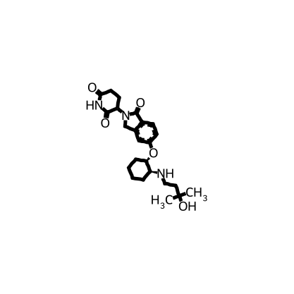 CC(C)(O)CCN[C@H]1CCCC[C@H]1Oc1ccc2c(c1)CN(C1CCC(=O)NC1=O)C2=O